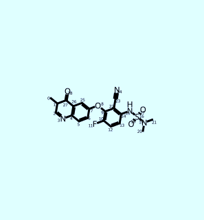 CC1C=Nc2ccc(Oc3c(F)ccc(NS(=O)(=O)N(C)C)c3C#N)cc2C1=O